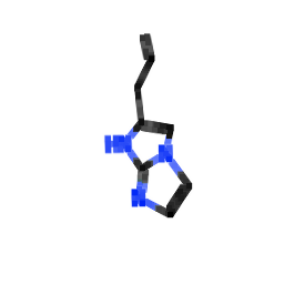 C=CCc1cn2ccnc2[nH]1